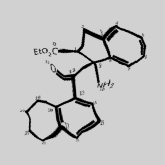 CCOC(=O)C1Cc2ccccc2C1(N)C(=O)c1cccc2c1CCCC2